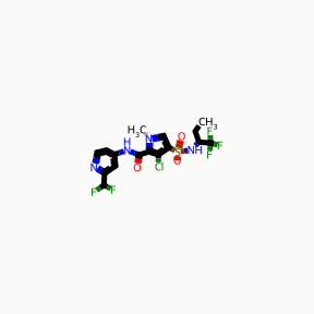 CCC(NS(=O)(=O)c1cn(C)c(C(=O)Nc2ccnc(C(F)F)c2)c1Cl)C(F)(F)F